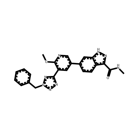 CNC(=O)c1n[nH]c2cc(-c3cnc(OC)c(-c4nnn(Cc5ccccc5)n4)c3)ccc12